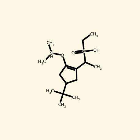 CCP(=O)(O)C(C)C1=C(O[SiH](C)C)CC(C(C)(C)C)C1